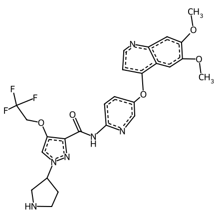 COc1cc2nccc(Oc3ccc(NC(=O)c4nn(C5CCNC5)cc4OCC(F)(F)F)nc3)c2cc1OC